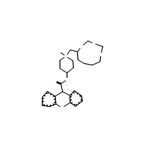 C[N+]1(CC2CCCCCCCCC2)CCC(NC(=O)C2c3ccccc3Oc3ccccc32)CC1.[I-]